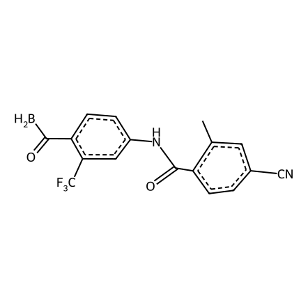 BC(=O)c1ccc(NC(=O)c2ccc(C#N)cc2C)cc1C(F)(F)F